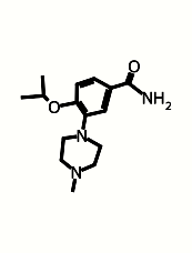 CC(C)Oc1ccc(C(N)=O)cc1N1CCN(C)CC1